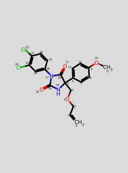 C=CCOCC1(c2ccc(OC)cc2)NC(=O)N(c2ccc(Cl)c(Cl)c2)C1=O